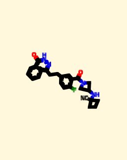 N#CC1(NC2CN(C(=O)c3cc(CCc4n[nH]c(=O)c5ccccc45)ccc3F)C2)CCC1